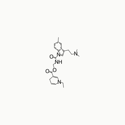 CCN1C=CCC(C(=O)OCNC(=O)n2cc(CCN(C)C)c3cc(C)ccc32)=C1